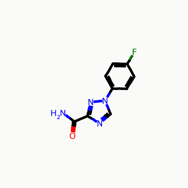 NC(=O)c1ncn(-c2ccc(F)cc2)n1